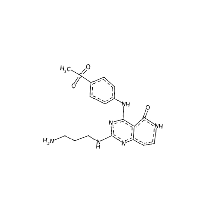 CS(=O)(=O)c1ccc(Nc2nc(NCCCN)nc3cc[nH]c(=O)c23)cc1